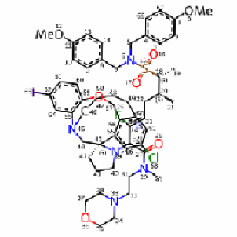 COc1ccc(CN(Cc2ccc(OC)cc2)S(=O)(=O)[C@H](C)[C@@H](C)C/C=C(\F)C(C(=O)N(C)CCN2CCOCC2)N2CCC[C@@]23CN2CCCCc4cc(Cl)cc3c4COc3ccc(I)cc32)cc1